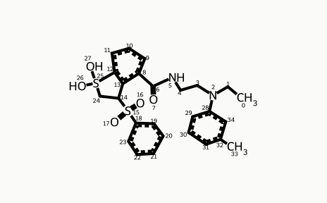 CCN(CCNC(=O)c1cccc2c1C(S(=O)(=O)c1ccccc1)CS2(O)O)c1cccc(C)c1